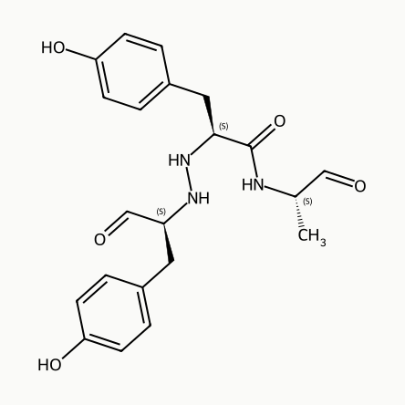 C[C@@H](C=O)NC(=O)[C@H](Cc1ccc(O)cc1)NN[C@H](C=O)Cc1ccc(O)cc1